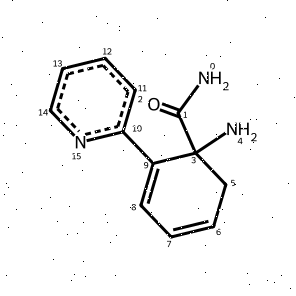 NC(=O)C1(N)CC=CC=C1c1ccccn1